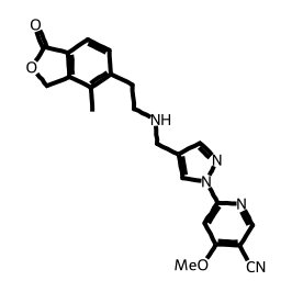 COc1cc(-n2cc(CNCCc3ccc4c(c3C)COC4=O)cn2)ncc1C#N